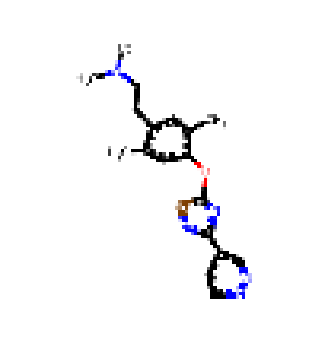 CCN(C)CCc1cc(C)c(Oc2nc(-c3ccnnc3)ns2)cc1C